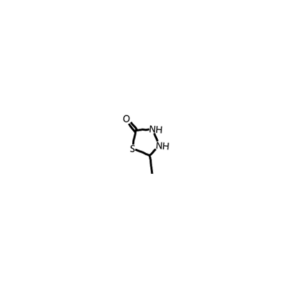 CC1NNC(=O)S1